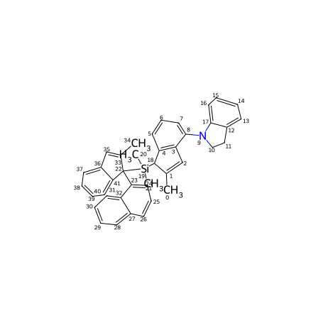 CC1=Cc2c(cccc2N2CCc3ccccc32)C1[Si](C)(C)C1(c2cccc3ccccc23)C(C)=Cc2ccccc21